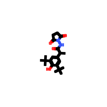 CC(C(=O)NN1C(=O)CCC1=O)c1cc(C(C)(C)C)c(O)c(C(C)(C)C)c1